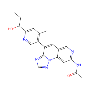 CCC(O)c1cc(C)c(-c2cc3cnc(NC(C)=O)cc3n3ncnc23)cn1